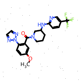 COc1ccc(-n2nccn2)c(C(=O)N2CCCC(Nc3ccc(C(F)(F)F)cn3)C2)c1